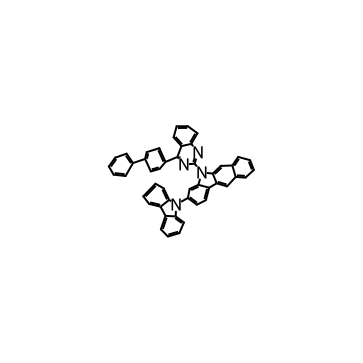 c1ccc(-c2ccc(-c3nc(-n4c5cc(-n6c7ccccc7c7ccccc76)ccc5c5cc6ccccc6cc54)nc4ccccc34)cc2)cc1